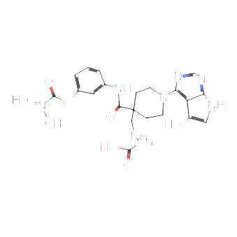 CC(=O)O.Cc1c[nH]c2ncnc(N3CCC(CN)(C(=O)Nc4cccc(OC(=O)N(C)C)c4)CC3)c12